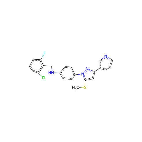 CSc1cc(-c2cccnc2)nn1-c1ccc(NCc2c(F)cccc2Cl)cc1